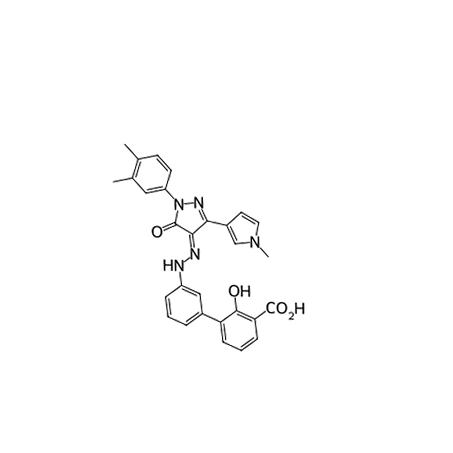 Cc1ccc(N2N=C(c3ccn(C)c3)C(=NNc3cccc(-c4cccc(C(=O)O)c4O)c3)C2=O)cc1C